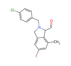 Cc1cc(I)cc2c1C(C=O)N(Cc1ccc(Cl)cc1)C2